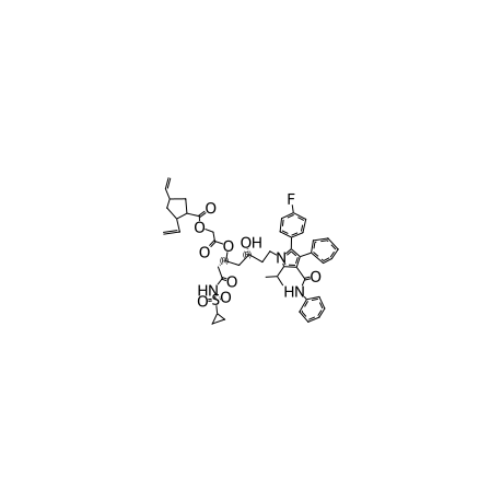 C=CC1CC(C=C)C(C(=O)OCC(=O)O[C@@H](CC(=O)NS(=O)(=O)C2CC2)C[C@H](O)CCn2c(-c3ccc(F)cc3)c(-c3ccccc3)c(C(=O)Nc3ccccc3)c2C(C)C)C1